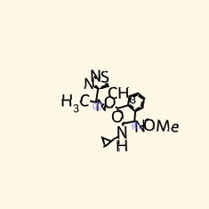 CO/N=C(/C(=O)NC1CC1)c1ccccc1CO/N=C(/C)c1nnsc1C